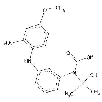 COc1ccc(Nc2cccc(N(C(=O)O)C(C)(C)C)c2)c(N)c1